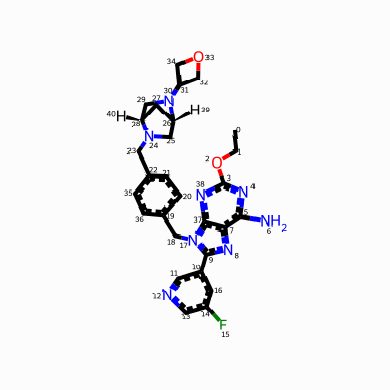 CCOc1nc(N)c2nc(-c3cncc(F)c3)n(Cc3ccc(CN4C[C@@H]5C[C@H]4CN5C4COC4)cc3)c2n1